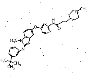 CN1CCC(CCC(=O)Nc2cc(Oc3ccc4c(c3)nc(Nc3cccc(C(C)(C)C)c3)n4C)ccn2)CC1